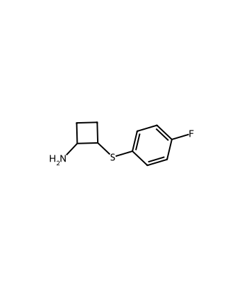 NC1CCC1Sc1ccc(F)cc1